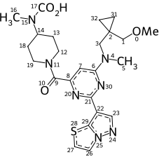 COCC1(CN(C)c2cc(C(=O)N3CCC(N(C)C(=O)O)CC3)nc(-c3cnn4ccsc34)n2)CC1